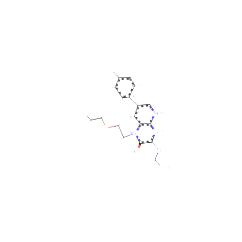 CCCOCCn1c(=O)c(NCC)nc2ncc(-c3ccc(F)cc3)cc21